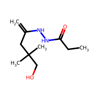 C=C(CC(C)(C)CO)NNC(=O)CC